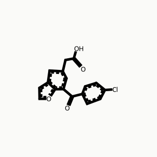 O=C(O)Cc1cc(C(=O)c2ccc(Cl)cc2)c2occc2c1